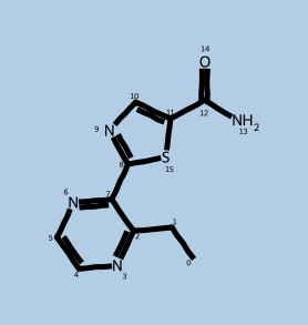 CCc1nccnc1-c1ncc(C(N)=O)s1